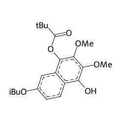 COc1c(OC)c(OC(=O)C(C)(C)C)c2cc(OCC(C)C)ccc2c1O